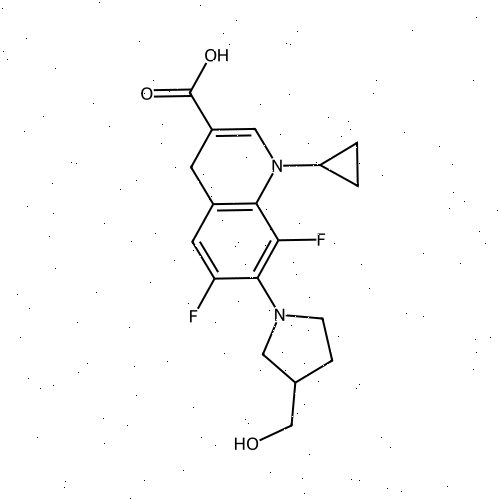 O=C(O)C1=CN(C2CC2)c2c(cc(F)c(N3CCC(CO)C3)c2F)C1